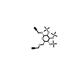 C#CCOC[C@H]1O[C@H](OCC#C)[C@@H](O[Si](C)(C)C)[C@@H](O[Si](C)(C)C)[C@@H]1O[Si](C)(C)C